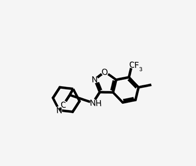 Cc1ccc2c(NC3CN4CCC3CC4)noc2c1C(F)(F)F